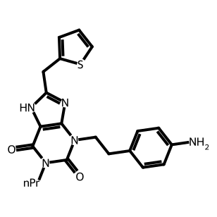 CCCn1c(=O)c2[nH]c(Cc3cccs3)nc2n(CCc2ccc(N)cc2)c1=O